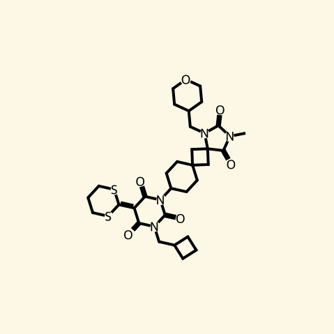 CN1C(=O)N(CC2CCOCC2)C2(CC3(CCC(N4C(=O)C(=C5SCCCS5)C(=O)N(CC5CCC5)C4=O)CC3)C2)C1=O